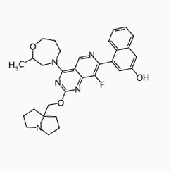 CC1CN(c2nc(OCC34CCCN3CCC4)nc3c(F)c(-c4cc(O)cc5ccccc45)ncc23)CCCO1